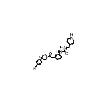 N#Cc1ccc(C2(F)CCN(C(=O)Cc3cccc(NC(=O)NCC4CCNCC4)c3)CC2)cc1